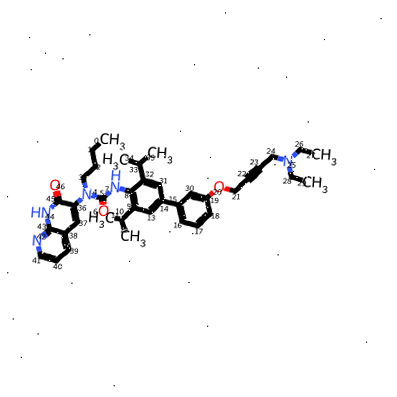 CCCCN(C(=O)Nc1c(C(C)C)cc(-c2cccc(OCC#CCN(CC)CC)c2)cc1C(C)C)c1cc2cccnc2[nH]c1=O